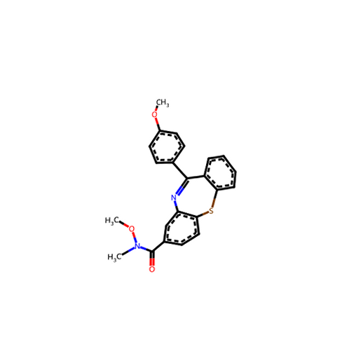 COc1ccc(C2=Nc3cc(C(=O)N(C)OC)ccc3Sc3ccccc32)cc1